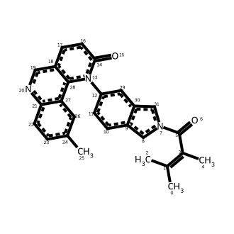 CC(C)=C(C)C(=O)n1cc2ccc(-n3c(=O)ccc4cnc5ccc(C)cc5c43)cc2c1